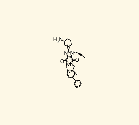 CC#CCn1c(N2CCCC(N)C2)nc2c(=O)n(C)n(Cc3nccc(-c4ccccc4)n3)c(=O)c21